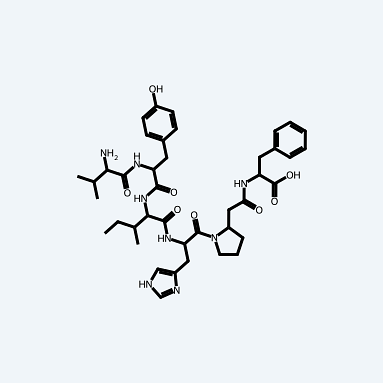 CCC(C)C(NC(=O)C(Cc1ccc(O)cc1)NC(=O)C(N)C(C)C)C(=O)NC(Cc1c[nH]cn1)C(=O)N1CCCC1CC(=O)NC(Cc1ccccc1)C(=O)O